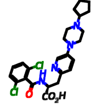 O=C(N[C@@H](Cc1ccc(N2CCN(C3CCCC3)CC2)cn1)C(=O)O)c1c(Cl)cccc1Cl